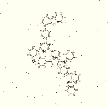 c1ccc(-c2nc(-c3ccc(-c4cccc5c4oc4ccccc45)cc3)nc(-c3cccc4oc5ccc(-c6ccc7c(c6)c6ccc(-c8cccc9c8sc8ccccc89)cc6n7-c6ccccc6)cc5c34)n2)cc1